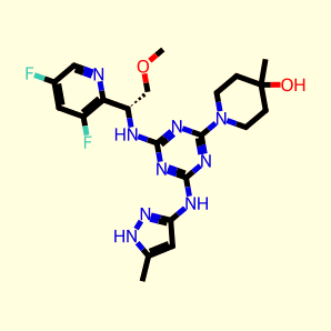 COC[C@H](Nc1nc(Nc2cc(C)[nH]n2)nc(N2CCC(C)(O)CC2)n1)c1ncc(F)cc1F